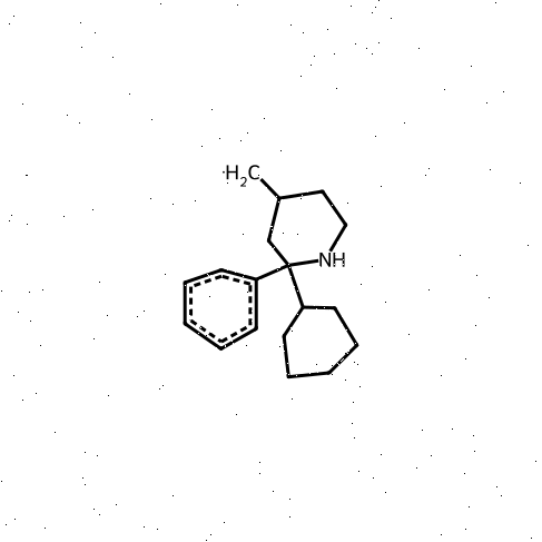 [CH2]C1CCNC(c2ccccc2)(C2CCCCC2)C1